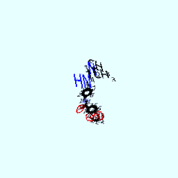 CN(C)CCNc1ccc(/C=C/C(=O)c2ccc3c(c2)OCCO3)cc1